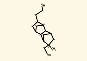 CC1(CO)CC2CC1C1C3CC(CCO)C(C3)C21